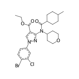 CCOC(=O)c1cn(-c2ccc(Br)c(Cl)c2)nc1N(C(=O)C1CCC(C)CC1)C1CCOCC1